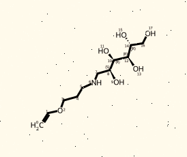 C=COCCCNC[C@H](O)[C@@H](O)[C@H](O)[C@H](O)CO